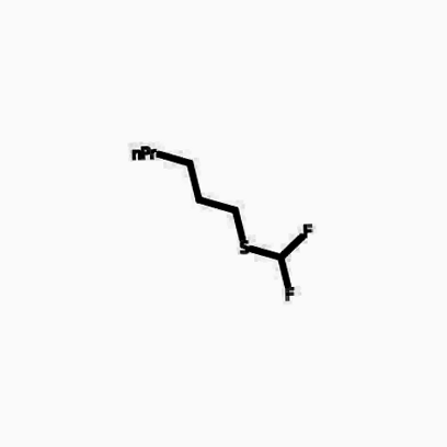 [CH2]CCCCCSC(F)F